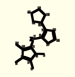 CC1=C(C)C(C)[C]([Zr][C]2=C(C3CCCC3)C=CC2)=C1C